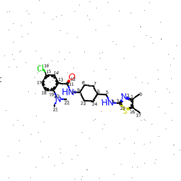 Cc1nc(NCC2CCC(NC(=O)c3cc(Cl)ccc3N(C)C)CC2)sc1C